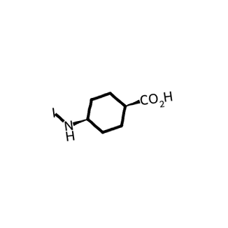 O=C(O)[C@H]1CC[C@@H](NI)CC1